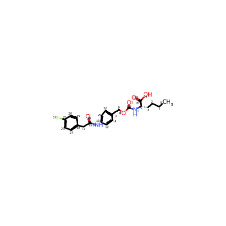 CCCC[C@H](NC(=O)OCc1ccc(NC(=O)Cc2ccc(F)cc2)cc1)C(=O)O